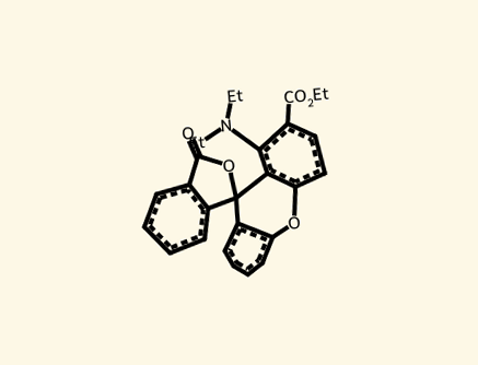 CCOC(=O)c1ccc2c(c1N(CC)CC)C1(OC(=O)c3ccccc31)c1ccccc1O2